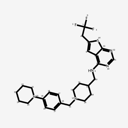 FC(F)(F)Cc1cc2c(NCC3CCN(Cc4ccc(N5CCCCC5)cc4)CC3)ncnc2s1